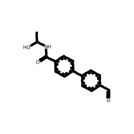 [CH2]C(O)NC(=O)c1ccc(-c2ccc(C=O)cc2)cc1